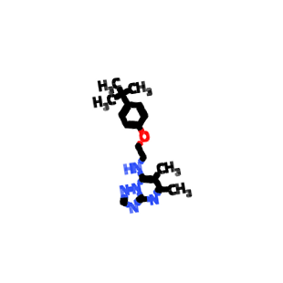 Cc1nc2ncnn2c(NCCOc2ccc(C(C)(C)C)cc2)c1C